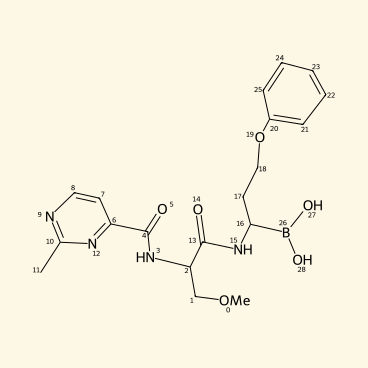 COCC(NC(=O)c1ccnc(C)n1)C(=O)NC(CCOc1ccccc1)B(O)O